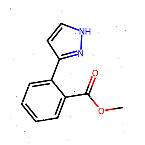 COC(=O)c1ccccc1-c1cc[nH]n1